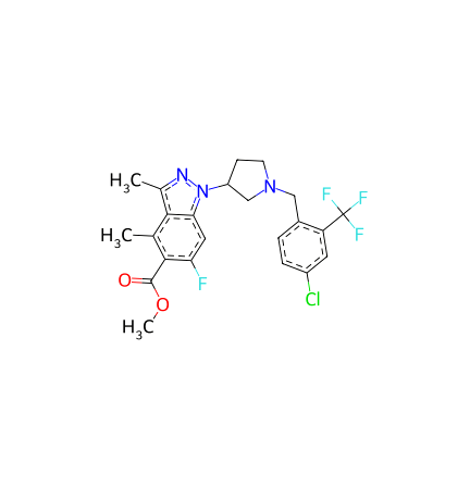 COC(=O)c1c(F)cc2c(c(C)nn2C2CCN(Cc3ccc(Cl)cc3C(F)(F)F)C2)c1C